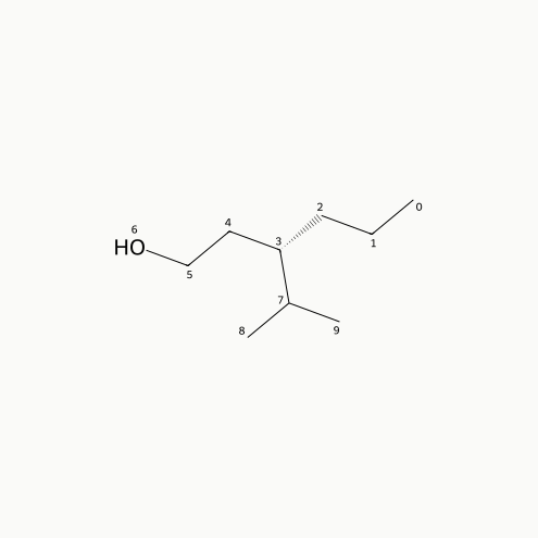 CCC[C@@H](CCO)C(C)C